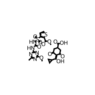 COC(=O)c1sccc1S(=O)(=O)NC(=O)Nc1nc(C)nc(OC)n1.O=C1CC(C(=O)O)CC(=O)C1=C(O)C1CC1